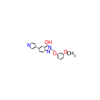 COc1cccc(OCc2nc(O)c3cc(-c4ccncc4)ccc3n2)c1